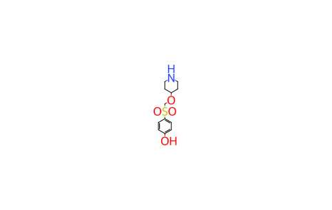 O=S(=O)(COC1CCNCC1)c1ccc(O)cc1